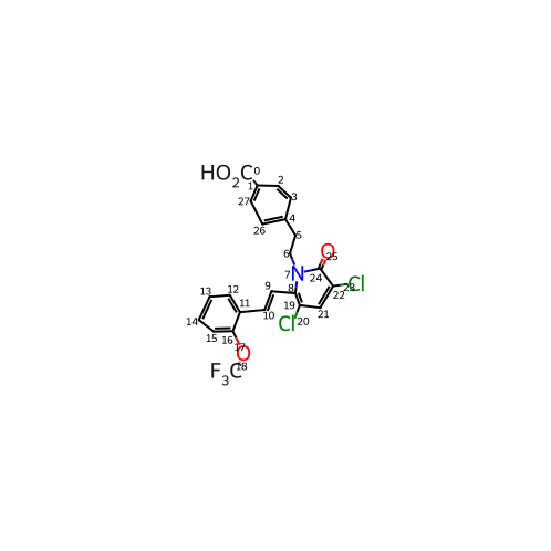 O=C(O)c1ccc(CCn2c(C=Cc3ccccc3OC(F)(F)F)c(Cl)cc(Cl)c2=O)cc1